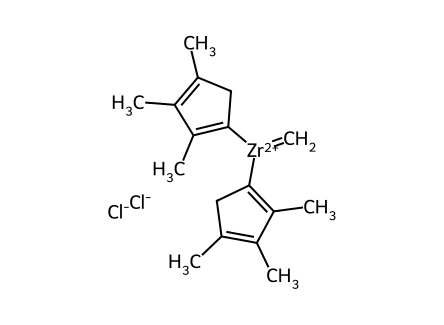 [CH2]=[Zr+2]([C]1=C(C)C(C)=C(C)C1)[C]1=C(C)C(C)=C(C)C1.[Cl-].[Cl-]